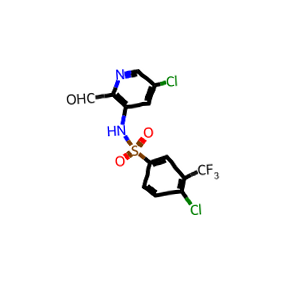 O=Cc1ncc(Cl)cc1NS(=O)(=O)c1ccc(Cl)c(C(F)(F)F)c1